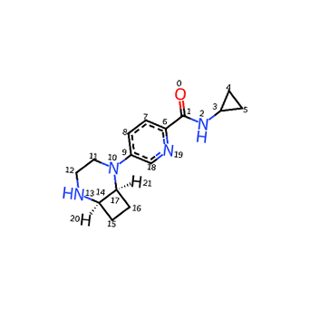 O=C(NC1CC1)c1ccc(N2CCN[C@@H]3CC[C@@H]32)cn1